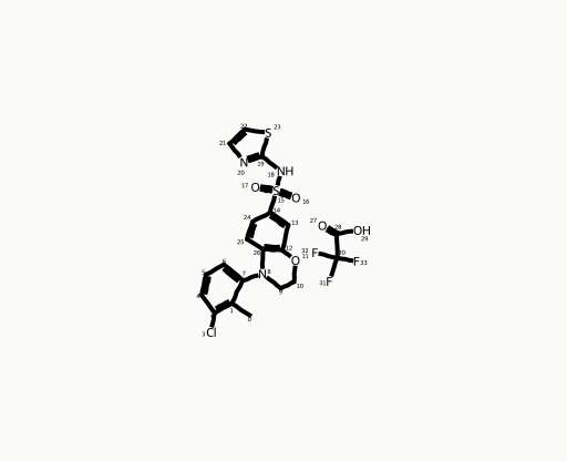 Cc1c(Cl)cccc1N1CCOc2cc(S(=O)(=O)Nc3nccs3)ccc21.O=C(O)C(F)(F)F